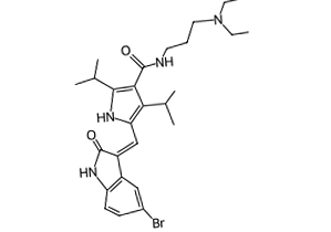 CCN(CC)CCCNC(=O)c1c(C(C)C)[nH]c(/C=C2\C(=O)Nc3ccc(Br)cc32)c1C(C)C